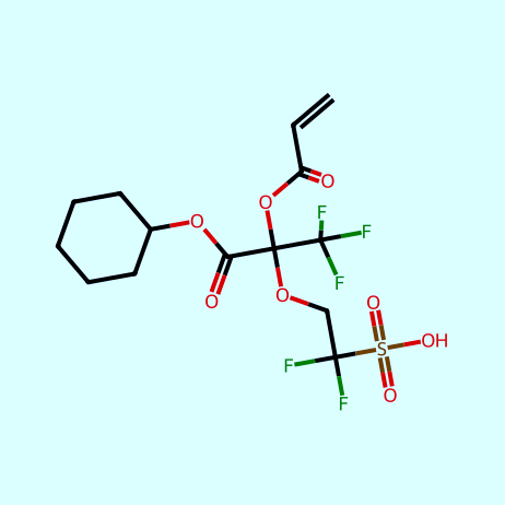 C=CC(=O)OC(OCC(F)(F)S(=O)(=O)O)(C(=O)OC1CCCCC1)C(F)(F)F